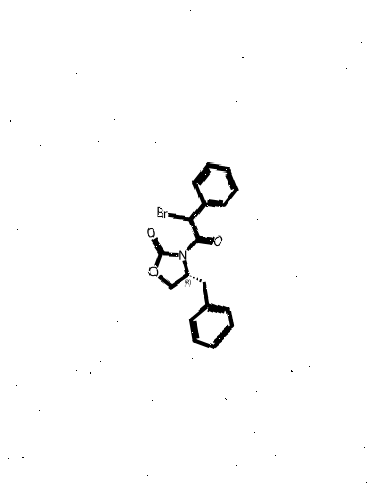 O=C1OC[C@@H](Cc2ccccc2)N1C(=O)C(Br)c1ccccc1